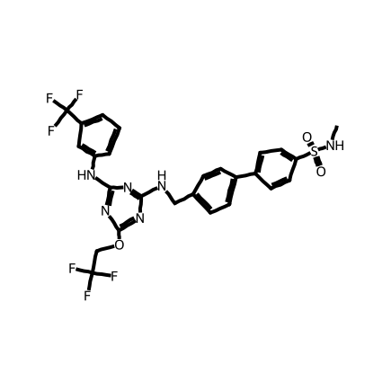 CNS(=O)(=O)c1ccc(-c2ccc(CNc3nc(Nc4cccc(C(F)(F)F)c4)nc(OCC(F)(F)F)n3)cc2)cc1